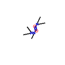 CCCCCCCCCN(CCCCCCCCC)CCC(=O)N1CCN(C(=O)CCN(CCCCCCC)CCN(CCCCCCCCC)CCCCCCCCC)CC1